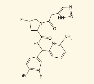 CC(C)c1ccc(C(NC(=O)C2CC(F)CN2C(=O)Cc2cnn[nH]2)c2cccc(N)n2)cc1F